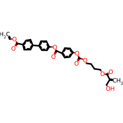 C=COC(=O)c1ccc(-c2ccc(OC(=O)c3ccc(OC(=O)OCCCCOC(=O)C(=C)CO)cc3)cc2)cc1